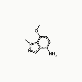 COc1ccc(N)c2cnn(C)c12